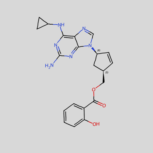 Nc1nc(NC2CC2)c2ncn([C@H]3C=C[C@@H](COC(=O)c4ccccc4O)C3)c2n1